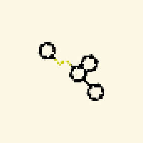 c1ccc(SSc2ccc(-c3ccccc3)c3ccccc23)cc1